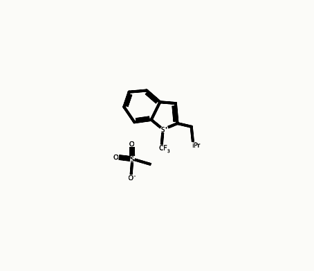 CC(C)Cc1cc2ccccc2[s+]1C(F)(F)F.CS(=O)(=O)[O-]